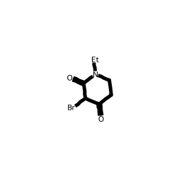 CCN1CCC(=O)C(Br)C1=O